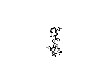 Cn1c(C(=O)O[C@H]2CN(C(=O)OC(C)(C)C)[C@@](CC[Si](C)(C)C)(C(=O)O)C2)cc2c(Br)cccc21